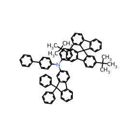 CC(C)(C)c1ccc2c(c1)C1(c3cc(C(C)(C)C)ccc3-2)c2ccccc2-c2cccc(-c3ccc(N(c4ccc(-c5ccccc5)cc4)c4ccc5c(c4)C(c4ccccc4)(c4ccccc4)c4ccccc4-5)cc3)c21